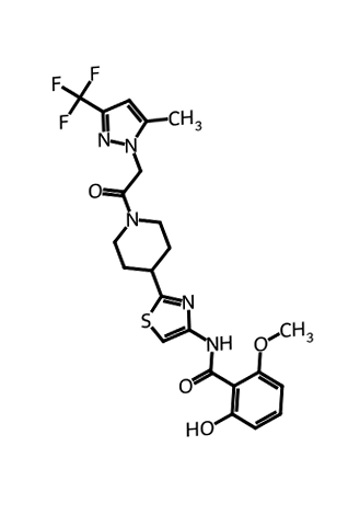 COc1cccc(O)c1C(=O)Nc1csc(C2CCN(C(=O)Cn3nc(C(F)(F)F)cc3C)CC2)n1